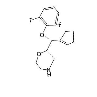 Fc1cccc(F)c1O[C@H](C1=CCCC1)[C@@H]1CNCCO1